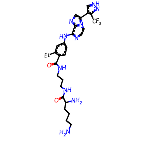 CCc1cc(Nc2nccn3c(-c4c[nH]nc4C(F)(F)F)cnc23)ccc1C(=O)NCCCNC(=O)C(N)CCCCN